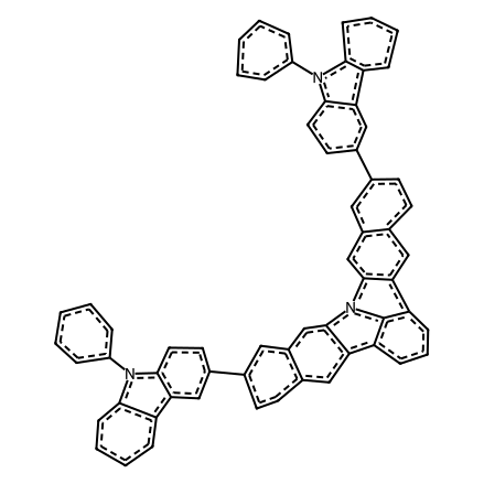 c1ccc(-n2c3ccccc3c3cc(-c4ccc5cc6c7cccc8c9cc%10ccc(-c%11ccc%12c(c%11)c%11ccccc%11n%12-c%11ccccc%11)cc%10cc9n(c6cc5c4)c78)ccc32)cc1